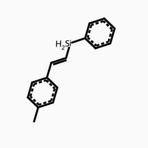 Cc1ccc(/C=C/[SiH2]c2ccccc2)cc1